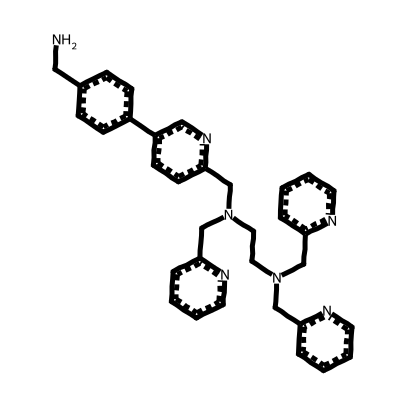 NCc1ccc(-c2ccc(CN(CCN(Cc3ccccn3)Cc3ccccn3)Cc3ccccn3)nc2)cc1